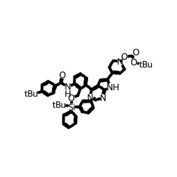 CC(C)(C)OC(=O)ON1CC=C(c2cc3c(-c4cccc(NC(=O)c5ccc(C(C)(C)C)cc5)c4CO[Si](c4ccccc4)(c4ccccc4)C(C)(C)C)ncnc3[nH]2)CC1